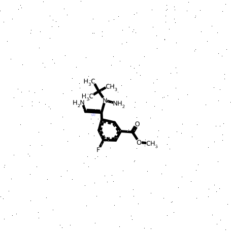 COC(=O)c1cc(F)cc(/C(=C/N)N(N)C(C)(C)C)c1